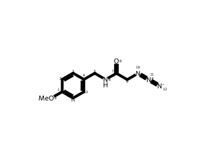 COc1ccc(CNC(=O)CN=[N+]=[N-])cc1